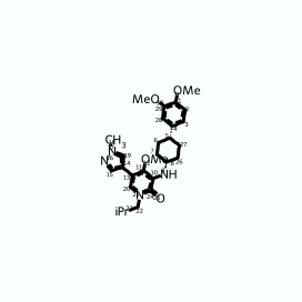 COc1ccc([C@H]2CC[C@@H](Nc3c(OC)c(-c4cnn(C)c4)cn(CC(C)C)c3=O)CC2)cc1OC